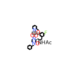 CC(=O)N[C@@H](Cc1cc(F)cc(OCc2ccccn2)c1)C[C@H]1C(=O)N(Cc2ccccc2)CCN1C(=O)OC(C)(C)C